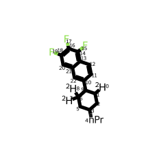 [2H]C1CC(CCC)CC([2H])([2H])C1c1ccc2c(F)c(F)c(F)cc2c1